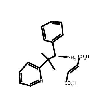 CC(C)(c1ccccn1)[C@H](N)c1ccccc1.O=C(O)C=CC(=O)O